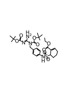 CCOC(=O)C1=CCCCC1S(=O)(=O)Nc1ccc(CN(C(=O)OC(C)(C)C)C(N)=NC(=O)OC(C)(C)C)cc1